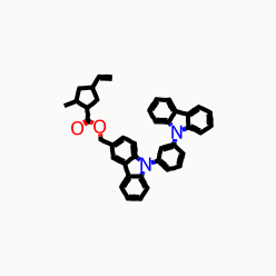 C=CC1CC(C)C(C(=O)OCc2ccc3c(c2)c2ccccc2n3-c2cccc(-n3c4ccccc4c4ccccc43)c2)C1